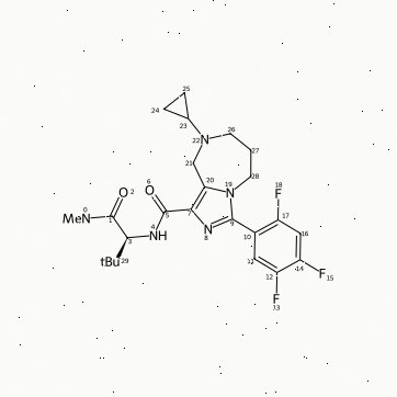 CNC(=O)[C@@H](NC(=O)c1nc(-c2cc(F)c(F)cc2F)n2c1CN(C1CC1)CCC2)C(C)(C)C